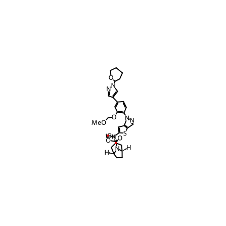 COCOc1cc(-c2cnn(C3CCCCO3)c2)ccc1-n1ncc2sc(N(C)C3C[C@H]4CC[C@@H](C3)N4C(=O)OC(C)(C)C)cc21